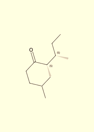 CC[C@H](C)[C@@H]1CC(C)CCC1=O